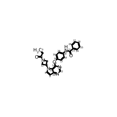 C=CC(=O)N1CC(n2ccc3ncnc(Oc4ccc(NC(=O)c5ccccc5)cc4)c32)C1